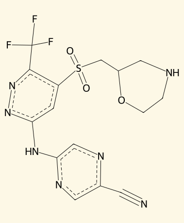 N#Cc1cnc(Nc2cc(S(=O)(=O)CC3CNCCO3)c(C(F)(F)F)nn2)cn1